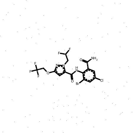 NC(=O)c1cc(Cl)cc(Br)c1NC(=O)c1cc(OCC(F)(F)F)nn1CC(F)F